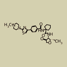 CC[C@@H]1OCC(=O)[C@H]1NC(=O)C1(NC(=O)c2ccc(-c3csc(N4CCN(C)CC4)n3)cc2)CCCCC1